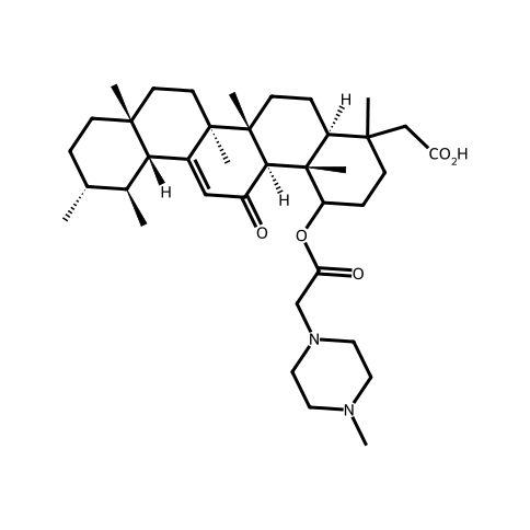 C[C@H]1[C@H](C)CC[C@]2(C)CC[C@]3(C)C(=CC(=O)[C@@H]4[C@@]5(C)C(OC(=O)CN6CCN(C)CC6)CCC(C)(CC(=O)O)[C@@H]5CC[C@]43C)[C@H]12